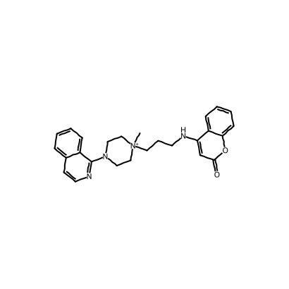 C[N+]1(CCCNc2cc(=O)oc3ccccc23)CCN(c2nccc3ccccc23)CC1